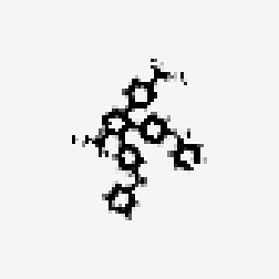 NC(=O)c1ccc(-c2ccc(C(N)=O)c(-c3ccc(Nc4ccncc4)cc3)c2-c2ccc(Nc3ccncc3)cc2)cc1